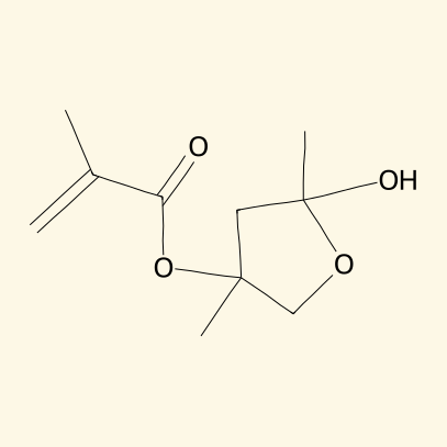 C=C(C)C(=O)OC1(C)COC(C)(O)C1